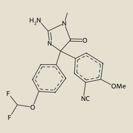 [C-]#[N+]c1cc(C2(c3ccc(OC(F)F)cc3)N=C(N)N(C)C2=O)ccc1OC